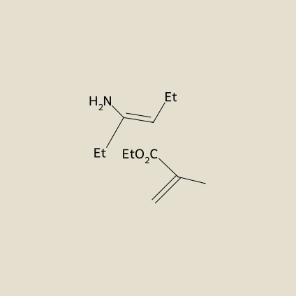 C=C(C)C(=O)OCC.CCC=C(N)CC